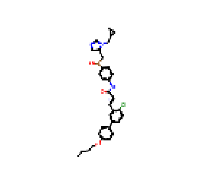 CCCCOc1ccc(-c2ccc(Cl)c(/C=C/C(=O)Nc3ccc([S+]([O-])Cc4cncn4CC4CC4)cc3)c2)cc1